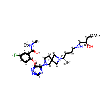 CCN(C(=O)c1cc(F)ccc1Oc1nncnc1N1CCC2(C1)CN([C@H](CCCNC[C@H](O)COC)C(C)C)C2)C(C)C